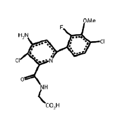 COc1c(Cl)ccc(-c2cc(N)c(Cl)c(C(=O)NCC(=O)O)n2)c1F